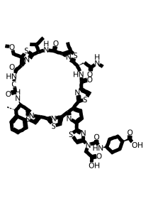 CNC(=O)C[C@@H]1NC(=O)c2csc(n2)-c2ccc(-c3nc(N(CC(=O)O)C(=O)N[C@H]4CC[C@H](C(=O)O)CC4)cs3)nc2-c2csc(n2)-c2csc(n2)[C@H]([C@@H](C)c2ccccc2)NC(=O)CNC(=O)c2nc(sc2COC)C(C(C)C)NC(=O)c2nc1sc2C